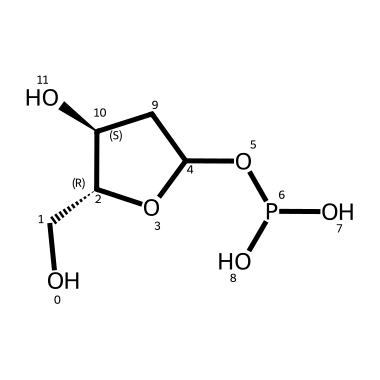 OC[C@H]1OC(OP(O)O)C[C@@H]1O